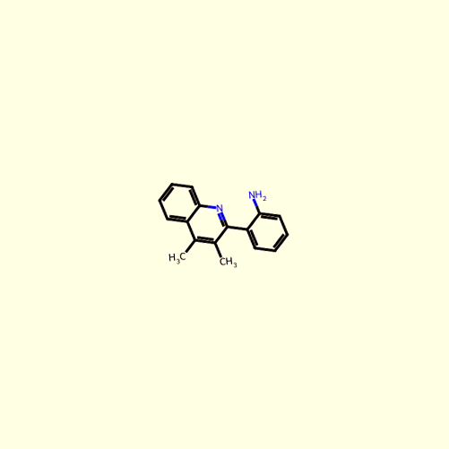 Cc1c(-c2ccccc2N)nc2ccccc2c1C